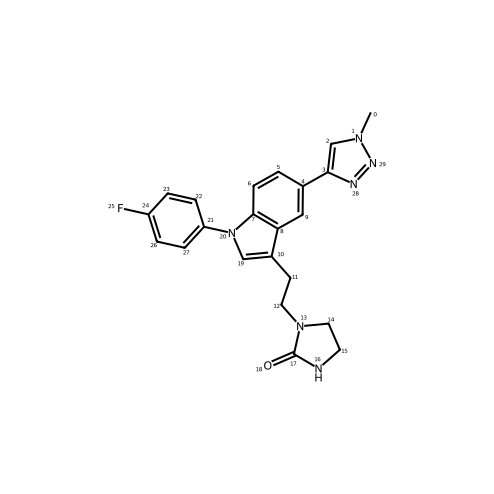 Cn1cc(-c2ccc3c(c2)c(CCN2CCNC2=O)cn3-c2ccc(F)cc2)nn1